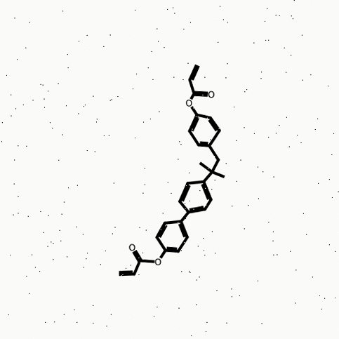 C=CC(=O)Oc1ccc(CC(C)(C)c2ccc(-c3ccc(OC(=O)C=C)cc3)cc2)cc1